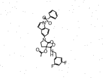 CC(=O)OC1(C(=O)NCc2cc(F)cc(F)c2)CCN(c2ccc3c(ccn3S(=O)(=O)c3ccccc3)c2)C1=O